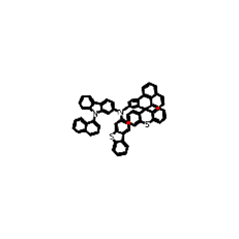 c1ccc2c(c1)Sc1ccccc1C21c2cc(N(c3ccc4c(c3)sc3ccccc34)c3ccc4c5ccccc5n(-c5cccc6ccccc56)c4c3)ccc2-c2cccc3cccc1c23